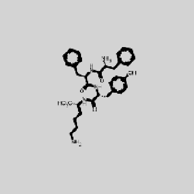 NCCCC[C@@H](NC(=O)[C@@H](Cc1ccc(O)cc1)NC(=O)[C@@H](Cc1ccccc1)NC(=O)[C@H](N)Cc1ccccc1)C(=O)O